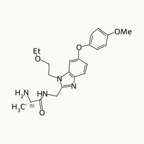 CCOCCn1c(CNC(=O)[C@H](C)N)nc2ccc(Oc3ccc(OC)cc3)cc21